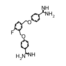 N=C(N)c1ccc(OCc2ccc(F)c(COc3ccc(C(=N)N)cc3)c2)cc1